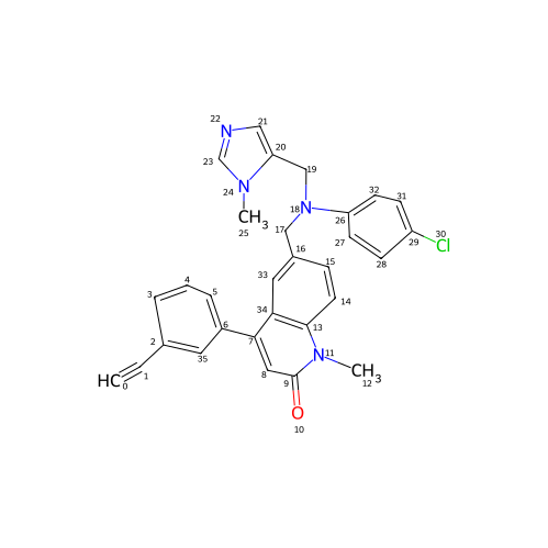 C#Cc1cccc(-c2cc(=O)n(C)c3ccc(CN(Cc4cncn4C)c4ccc(Cl)cc4)cc23)c1